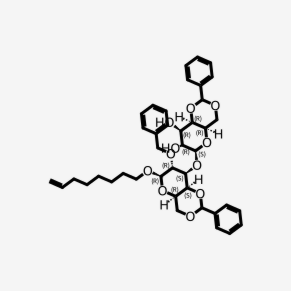 C=CCCCCCCO[C@@H]1O[C@@H]2COC(c3ccccc3)O[C@@H]2[C@H](O[C@@H]2O[C@@H]3COC(c4ccccc4)O[C@@H]3[C@H](O)[C@H]2O)[C@H]1OCc1ccccc1